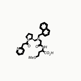 CSCCC(NC(=O)CN(Cc1cccc2ccccc12)C[C@@H]1CCCN1C(=O)Cc1ccccn1)C(=O)O